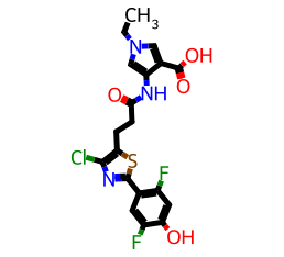 CCn1cc(NC(=O)CCc2sc(-c3cc(F)c(O)cc3F)nc2Cl)c(C(=O)O)c1